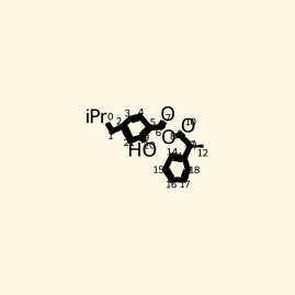 CC(C)Cc1ccc(C(=O)OC(=O)[C@@H](C)c2ccccc2)c(O)c1